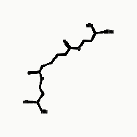 CCCCCCC(CCCC)CCOC(=O)CCCCC(=O)OCCC(CCCC)CCCCCC